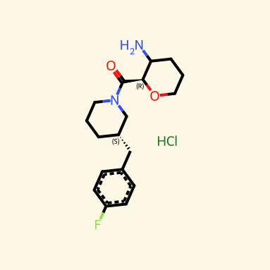 Cl.NC1CCCO[C@H]1C(=O)N1CCC[C@@H](Cc2ccc(F)cc2)C1